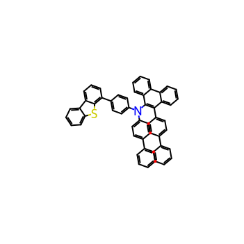 c1ccc(-c2ccc(-c3c(N(c4ccc(-c5ccccc5)cc4)c4ccc(-c5cccc6c5sc5ccccc56)cc4)c4ccccc4c4ccccc34)cc2)cc1